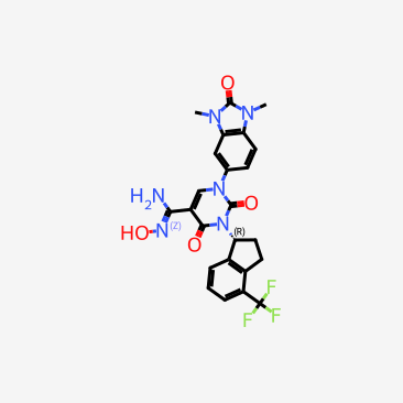 Cn1c(=O)n(C)c2cc(-n3cc(/C(N)=N/O)c(=O)n([C@@H]4CCc5c4cccc5C(F)(F)F)c3=O)ccc21